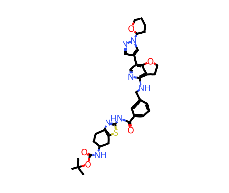 CC(C)(C)OC(=O)NC1CCc2nc(NC(=O)c3cccc(CNc4ncc(-c5cnn(C6CCCCO6)c5)c5c4CCO5)c3)sc2C1